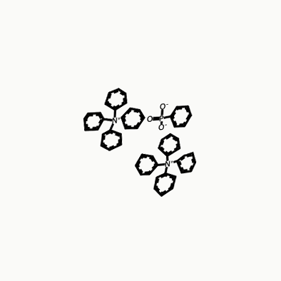 O=P([O-])([O-])c1ccccc1.c1ccc([N+](c2ccccc2)(c2ccccc2)c2ccccc2)cc1.c1ccc([N+](c2ccccc2)(c2ccccc2)c2ccccc2)cc1